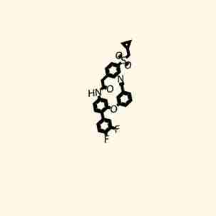 N#Cc1cccc(Oc2cc(NC(=O)Cc3ccc(S(=O)(=O)CC4CC4)cc3)ccc2-c2ccc(F)c(F)c2)c1